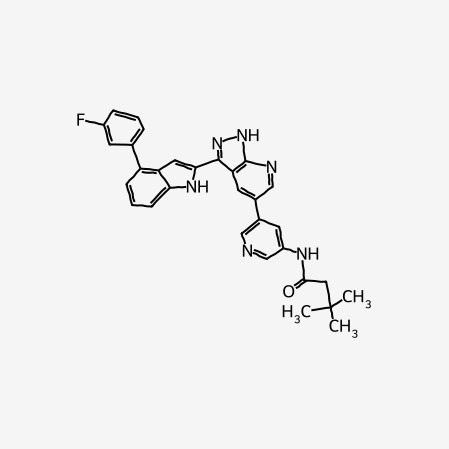 CC(C)(C)CC(=O)Nc1cncc(-c2cnc3[nH]nc(-c4cc5c(-c6cccc(F)c6)cccc5[nH]4)c3c2)c1